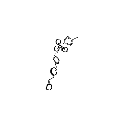 Cc1ccc(S(=O)(=O)OCCOCCOCC=O)cc1